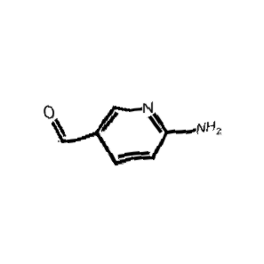 Nc1ccc([C]=O)cn1